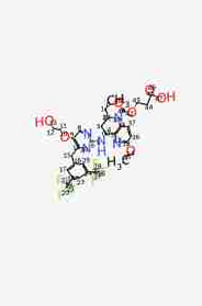 CC[C@@H]1C[C@H](Nc2ncc(OCCO)c(Cc3cc(C(F)(F)F)cc(C(F)(F)F)c3)n2)c2nc(OC)ccc2N1C(=O)OCCC(=O)O